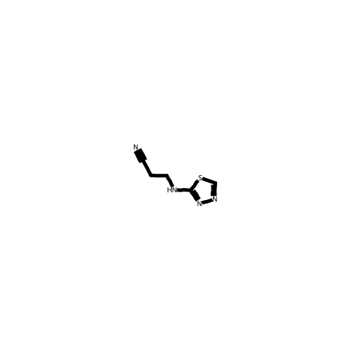 N#CCCNc1nncs1